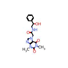 Cn1c(=O)c2c(ncn2CC(=O)NCC(O)c2ccccc2)n(C)c1=O